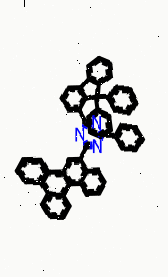 c1ccc(-c2nc(-c3cccc4c3C(c3ccccc3)(c3ccccc3)c3ccccc3-4)nc(-c3cc4c5ccccc5c5ccccc5c4c4ccccc34)n2)cc1